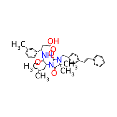 Cc1cccc(C(CC(=O)O)NC(=O)[C@H](CC(C)C)N2C(=O)N(Cc3ccc(/C=C/c4ccccc4)cc3)C(C)(C)C2=O)c1